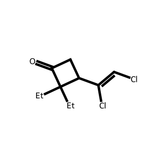 CCC1(CC)C(=O)CC1/C(Cl)=C/Cl